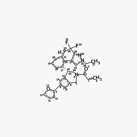 C=CC(=O)N1Cc2sc(-c3ccco3)cc2[C@H](c2ccccc2-c2cn(CC)nc2C(F)(F)P)C1